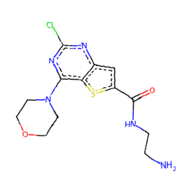 NCCNC(=O)c1cc2nc(Cl)nc(N3CCOCC3)c2s1